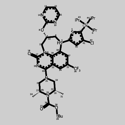 CC(C)[Si](c1sc([SH]2C[C@@H](Oc3ncccn3)Cn3c(=O)nc(N4C[C@@H](C)N(C(=O)OC(C)(C)C)[C@@H](C)C4)c4cc(C(F)(F)F)cc2c43)cc1Cl)(C(C)C)C(C)C